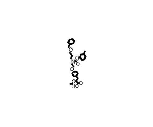 CCOC(Cc1ccc(OCCN(CCCOCc2ccccc2)C(=O)Oc2cccc(C)c2)cc1)C(=O)O